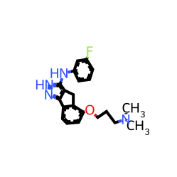 CN(C)CCCOc1cccc2c1Cc1c-2n[nH]c1Nc1cccc(F)c1